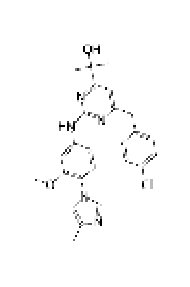 COc1cc(Nc2nc(Cc3ccc(Cl)cc3)cc(C(C)(C)O)n2)ccc1-n1cnc(C)c1